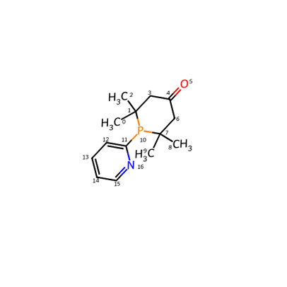 CC1(C)CC(=O)CC(C)(C)P1c1ccccn1